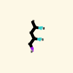 CC(F)CC(F)CI